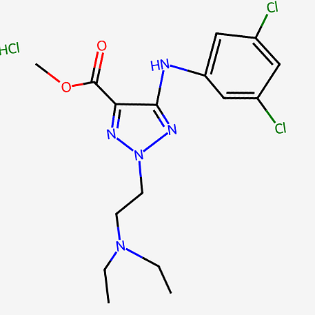 CCN(CC)CCn1nc(Nc2cc(Cl)cc(Cl)c2)c(C(=O)OC)n1.Cl